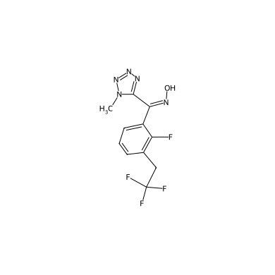 Cn1nnnc1C(=NO)c1cccc(CC(F)(F)F)c1F